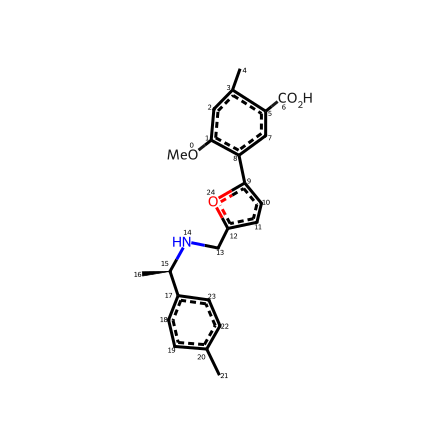 COc1cc(C)c(C(=O)O)cc1-c1ccc(CN[C@H](C)c2ccc(C)cc2)o1